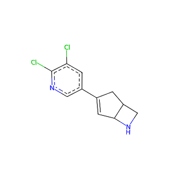 Clc1cc(C2=CC3NCC3C2)cnc1Cl